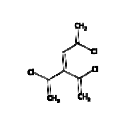 C=C(Cl)C=C(C(=C)Cl)C(=C)Cl